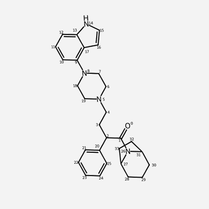 O=C(C(CCN1CCN(c2cccc3[nH]ccc23)CC1)c1ccccc1)N1C2CCCC1CC2